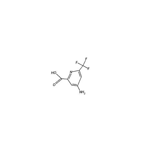 Nc1cc(C(=O)O)nc(C(F)(F)F)c1